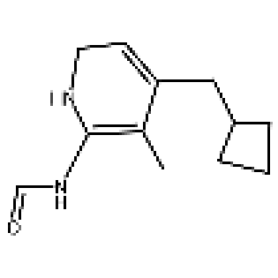 CC1=C(NC=O)NCC=C1CC1CCC1